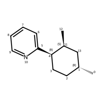 C[C@@H]1CC[C@@H](c2ccccn2)[C@@H](C)C1